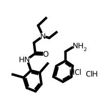 CCN(CC)CC(=O)Nc1c(C)cccc1C.Cl.Cl.NCc1ccccc1